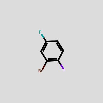 Fc1ccc(I)c(Br)c1